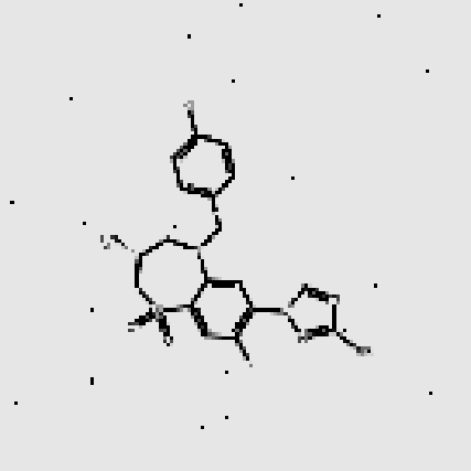 CC(C)(C)c1ncn(-c2cc3c(cc2F)S(=O)(=O)C[C@H](N)CN3Cc2ccc(Cl)cc2)n1